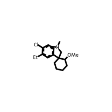 CCc1cc(C2(CN(C)C)CCCCC2OC)ccc1Cl